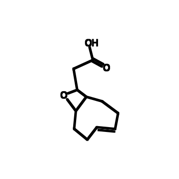 O=C(O)CC1OC2CC/C=C/CCC21